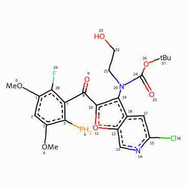 COc1cc(OC)c(P)c(C(=O)c2oc3cnc(Cl)cc3c2N(CCO)C(=O)OC(C)(C)C)c1F